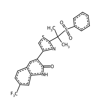 CC(C)(c1nc(-c2cc3ccc(C(F)(F)F)cc3[nH]c2=O)cs1)S(=O)(=O)c1ccccc1